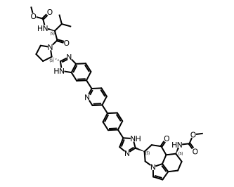 COC(=O)N[C@H]1CCc2ccn3c2C1C(=O)C[C@H](c1ncc(-c2ccc(-c4ccc(-c5ccc6nc([C@@H]7CCCN7C(=O)[C@@H](NC(=O)OC)C(C)C)[nH]c6c5)nc4)cc2)[nH]1)C3